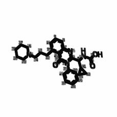 O=C(O)NC(c1nc2cccc(CCCN3CCCCC3)c2c(=O)n1-c1ccccc1)C1CC1